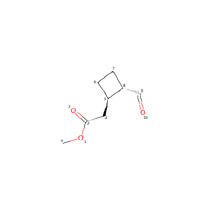 COC(=O)C[C@H]1CC[C@@H]1C=O